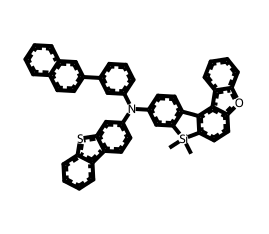 C[Si]1(C)c2cc(N(c3cccc(-c4ccc5ccccc5c4)c3)c3ccc4c(c3)sc3ccccc34)ccc2-c2c1ccc1oc3ccccc3c21